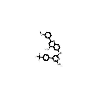 COc1cccc(-c2cc(N)c3cc(Nc4cc(-c5ccc(C(F)(F)F)cc5)nc(N)n4)ccc3n2)c1